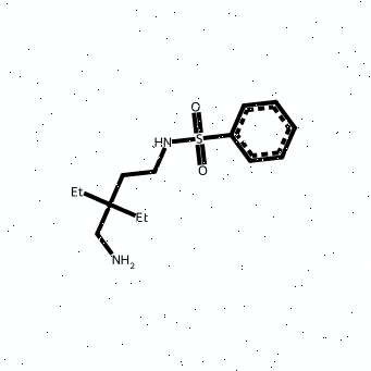 CCC(CC)(CN)CCNS(=O)(=O)c1cc[c]cc1